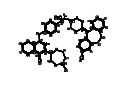 CCOC(=O)N1CCC(=C2c3ccc(Cl)cc3CCc3cccnc32)CC1.CN1CCCC(n2nc(Cc3ccc(Cl)cc3)c3ccccc3c2=O)CC1